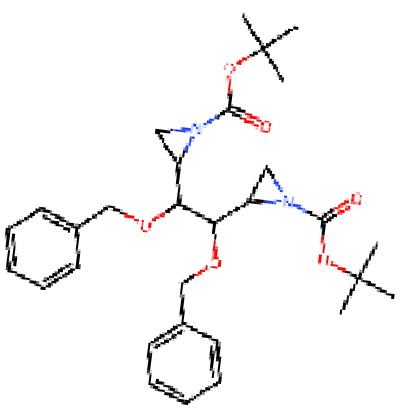 CC(C)(C)OC(=O)N1CC1C(OCc1ccccc1)C(OCc1ccccc1)C1CN1C(=O)OC(C)(C)C